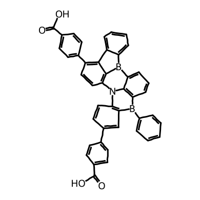 O=C(O)c1ccc(-c2ccc3c(c2)B(c2ccccc2)c2cccc4c2N3c2ccc(-c3ccc(C(=O)O)cc3)c3c2B4c2ccccc2-3)cc1